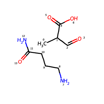 CC(C=O)C(=O)O.NCCCC(N)=O